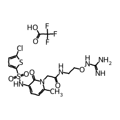 Cc1ccc(NS(=O)(=O)c2ccc(Cl)s2)c(=O)n1CC(=O)NCCONC(=N)N.O=C(O)C(F)(F)F